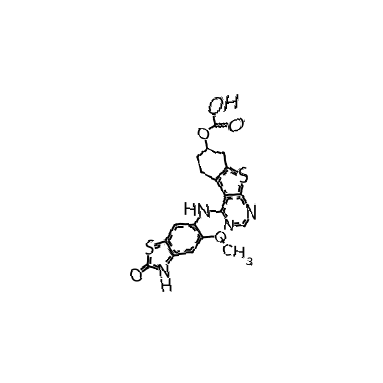 COc1cc2[nH]c(=O)sc2cc1Nc1ncnc2sc3c(c12)CCC(OC(=O)O)C3